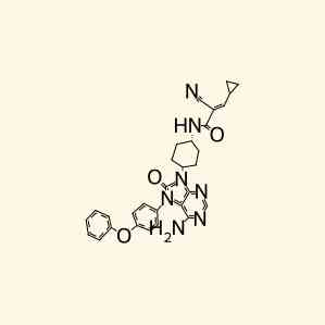 N#C/C(=C\C1CC1)C(=O)N[C@H]1CC[C@@H](n2c(=O)n(-c3ccc(Oc4ccccc4)cc3)c3c(N)ncnc32)CC1